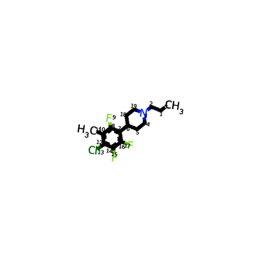 CCCN1CCC(c2c(F)c(C)c(Cl)c(F)c2F)CC1